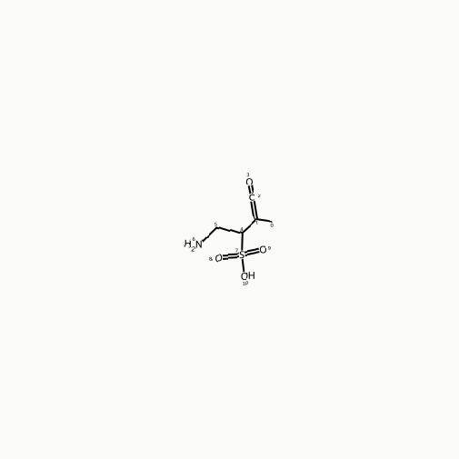 CC(=C=O)C(CN)S(=O)(=O)O